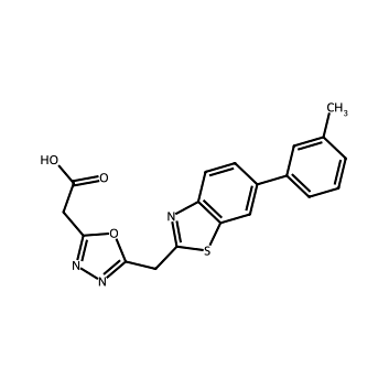 Cc1cccc(-c2ccc3nc(Cc4nnc(CC(=O)O)o4)sc3c2)c1